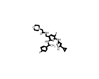 CC(Nc1nc(Nc2cc(C3CC3)[nH]n2)c(F)cc1CNC(=O)CN1CCOCC1)c1ccc(F)cc1